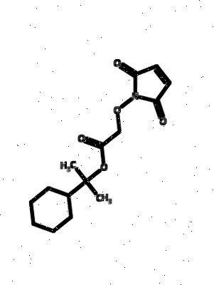 CC(C)(OC(=O)CON1C(=O)C=CC1=O)C1CCCCC1